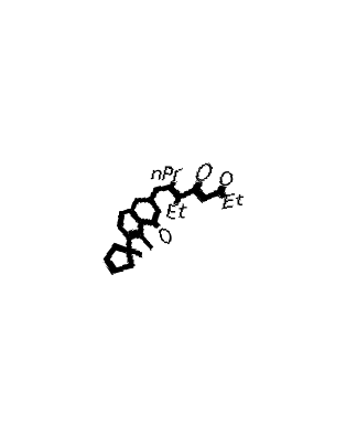 CCCC(CC1CC(=O)c2c(ccc(C3(C)CCCC3)c2C)C1)C(CC)C(=O)CC(=O)CC